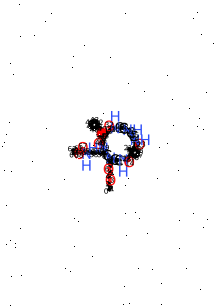 CCCOCCOCCN1CCNC(=O)c2cccc(c2C)C(=O)NCCNCCNC(=O)c2cccc(c2OCc2ccccc2)C(=O)NC(CCCCNC(=O)OC(C)(C)C)C1